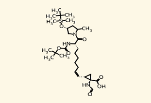 CC1C[C@@H](O[Si](C)(C)C(C)(C)C)CN1C(=O)[C@H](CCCCC/C=C\[C@@H]1C[C@]1(NC=O)C(=O)O)NC(=O)OC(C)(C)C